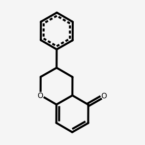 O=C1C=CC=C2OCC(c3ccccc3)CC12